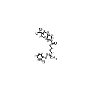 CN(CCCCC(=O)c1ccc2c(c1)CCN(C(=O)C(F)(F)F)CC2)CCc1ccccc1Cl